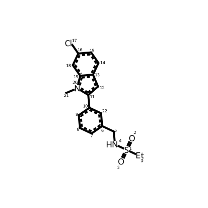 CCS(=O)(=O)NCc1cccc(-c2cc3ccc(Cl)cc3n2C)c1